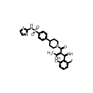 C/C(O)=C(/C(=N)c1c(F)cccc1Cl)C(=O)N1CCC(c2ccc(S(=O)(=O)Nc3nccs3)cc2)CC1